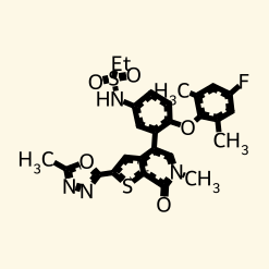 CCS(=O)(=O)Nc1ccc(Oc2c(C)cc(F)cc2C)c(-c2cn(C)c(=O)c3sc(-c4nnc(C)o4)cc23)c1